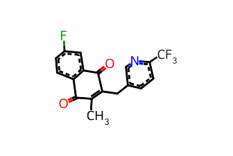 CC1=C(Cc2ccc(C(F)(F)F)nc2)C(=O)c2cc(F)ccc2C1=O